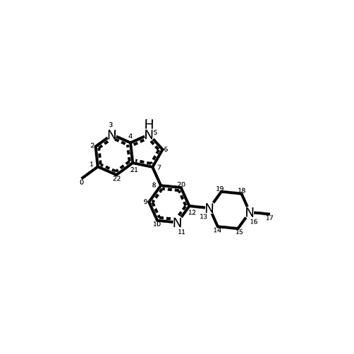 Cc1cnc2[nH]cc(-c3ccnc(N4CCN(C)CC4)c3)c2c1